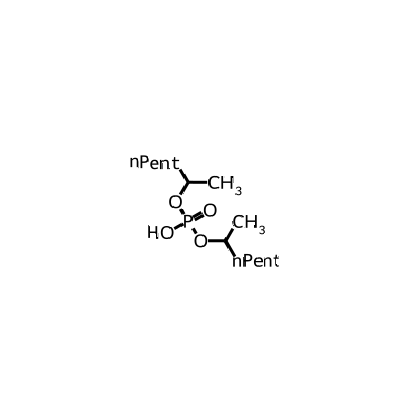 CCCCCC(C)OP(=O)(O)OC(C)CCCCC